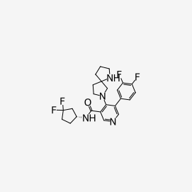 O=C(N[C@@H]1CCC(F)(F)C1)c1cncc(-c2ccc(F)c(F)c2)c1N1CCC2(CCCN2)C1